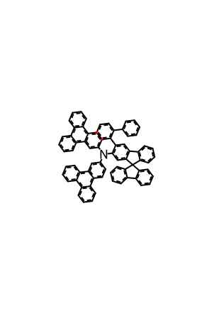 c1ccc(-c2ccccc2-c2cc3c(cc2N(c2ccc4c5ccccc5c5ccccc5c4c2)c2ccc4c5ccccc5c5ccccc5c4c2)C2(c4ccccc4-c4ccccc42)c2ccccc2-3)cc1